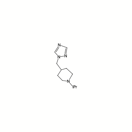 CC(C)N1CCC(Cn2cncn2)CC1